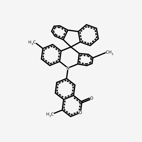 Cc1ccc2c(c1)C1(c3ccccc3-c3ccccc31)c1cc(C)ccc1N2c1ccc2c(C)coc(=O)c2c1